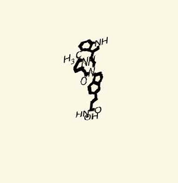 Cc1ccc(C(=O)N(CCc2c[nH]c3ccccc23)C2CCc3cc(C=CC(=O)NO)ccc32)[nH]1